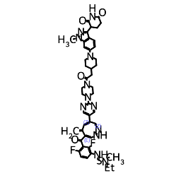 C=C1/C=C(c2cnc(N3CCN(C(=O)CC4CCN(c5ccc6c(C7CCC(=O)NC7=O)nn(C)c6c5)CC4)CC3)nc2)\C=N/N/C=C\1C(=O)c1c(F)ccc(NSN(C)CC)c1F